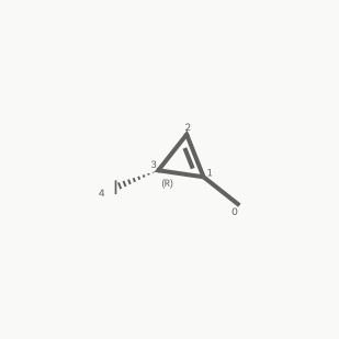 CC1=C[C@H]1I